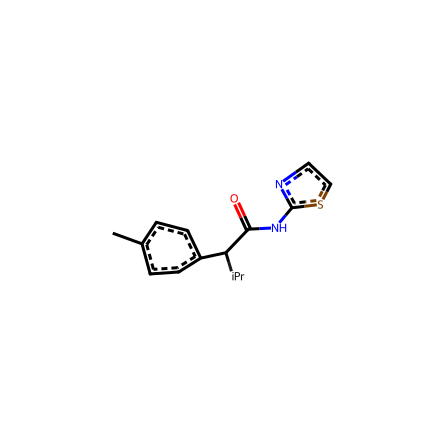 Cc1ccc(C(C(=O)Nc2nccs2)C(C)C)cc1